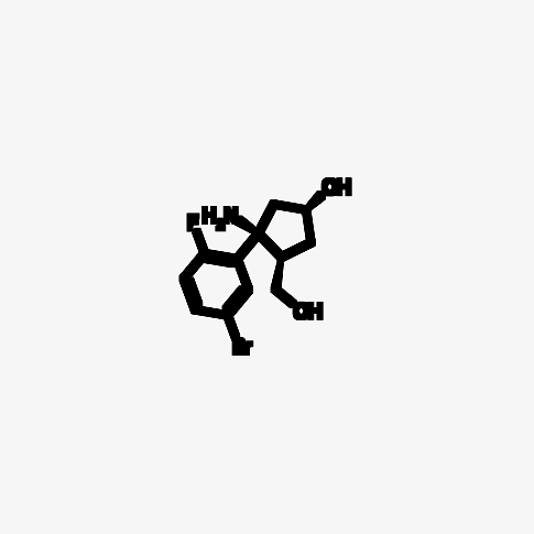 N[C@@]1(c2cc(Br)ccc2F)C[C@@H](O)C[C@H]1CO